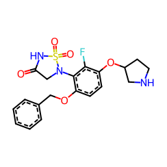 O=C1CN(c2c(OCc3ccccc3)ccc(OC3CCNC3)c2F)S(=O)(=O)N1